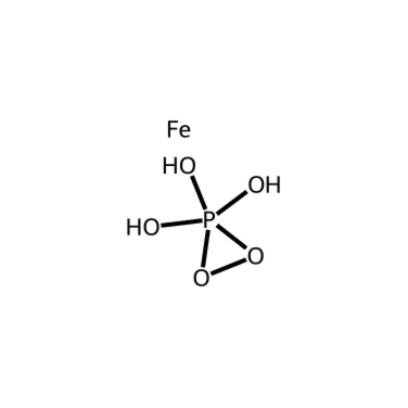 OP1(O)(O)OO1.[Fe]